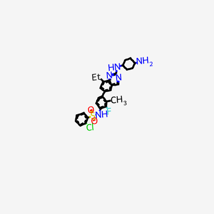 CCc1cc(-c2ccc(NS(=O)(=O)c3ccccc3Cl)c(F)c2C)cc2cnc(NC3CCC(N)CC3)nc12